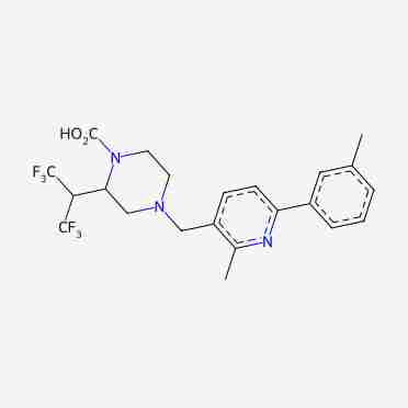 Cc1cccc(-c2ccc(CN3CCN(C(=O)O)C(C(C(F)(F)F)C(F)(F)F)C3)c(C)n2)c1